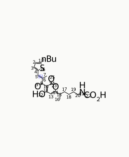 CCCCc1ccc(/C=C(\C)C(=O)c2c(O)cc(C(C)CCCCNC(=O)O)oc2=O)s1